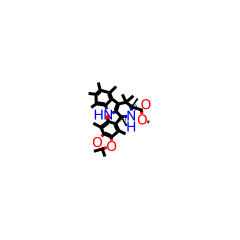 COC(=O)[C@]1(C)N[C@](C)(c2c(C)c(C)c3c(c2C)OC(C)(C)O3)c2[nH]c3c(C)c(C)c(C)c(C)c3c2C1(C)C